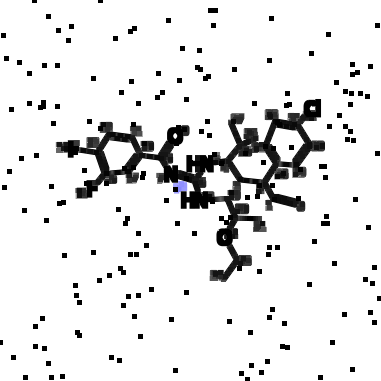 C=CC(CC(N/C(=N\C(=O)c1ccc(F)c(F)c1)NCC(C)OCC)C(C)C)c1ccc(Cl)cc1